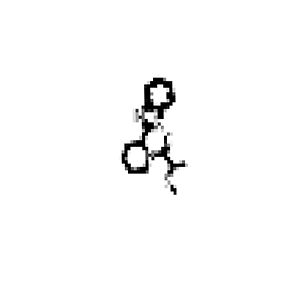 CSC(C)C(=O)N1CCCCC1c1nc2ccccc2[nH]1